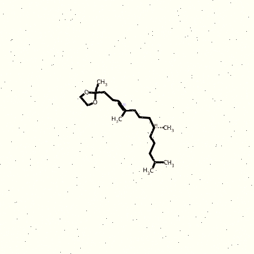 C/C(=C\CCC1(C)OCCO1)CCC[C@H](C)CCCC(C)C